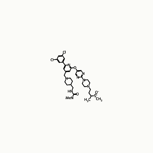 CNC(=O)NCC1CCN(Cc2cc(Oc3cnc(N4CCN(CCC(C)[S+](C)[O-])CC4)nc3)nc(-c3cc(Cl)cc(Cl)c3)c2)CC1